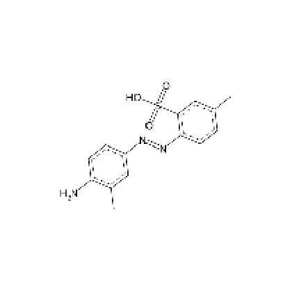 Cc1ccc(N=Nc2ccc(N)c(C)c2)c(S(=O)(=O)O)c1